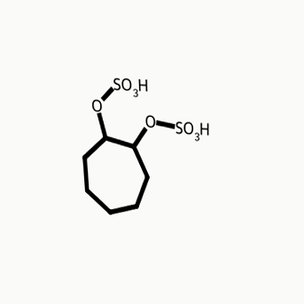 O=S(=O)(O)OC1CCCCCC1OS(=O)(=O)O